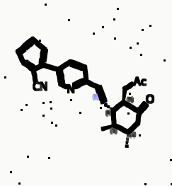 CC(=O)C[C@H]1C(=O)C[C@H](C)[C@@H](C)[C@@H]1/C=C/c1ccc(-c2ccccc2C#N)cn1